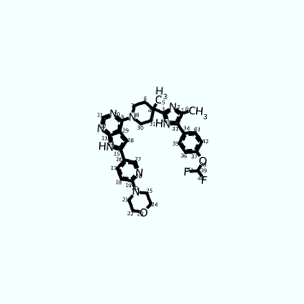 Cc1nc(C2(C)CCN(c3ncnc4[nH]c(-c5ccc(N6CCOCC6)nc5)cc34)CC2)[nH]c1-c1ccc(OC(F)F)cc1